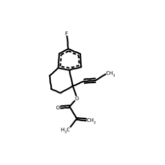 C=C(C)C(=O)OC1(C#CC)CCCc2cc(F)ccc21